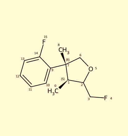 C[C@@H]1C(CF)OC[C@@]1(C)c1ccccc1F